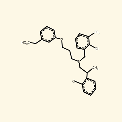 CC(CN(CCCOc1cccc(CC(=O)O)c1)Cc1cccc(C(F)(F)F)c1Cl)c1ccccc1Cl